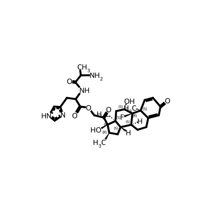 CC(N)C(=O)NC(Cc1c[nH]cn1)C(=O)OCC(=O)[C@@]1(O)[C@H](C)C[C@H]2[C@@H]3CCC4=CC(=O)C=C[C@]4(C)[C@@]3(F)[C@@H](O)C[C@@]21C